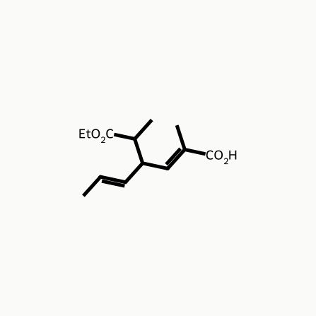 CC=CC(C=C(C)C(=O)O)C(C)C(=O)OCC